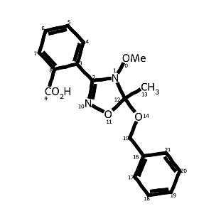 CON1C(c2ccccc2C(=O)O)=NOC1(C)OCc1ccccc1